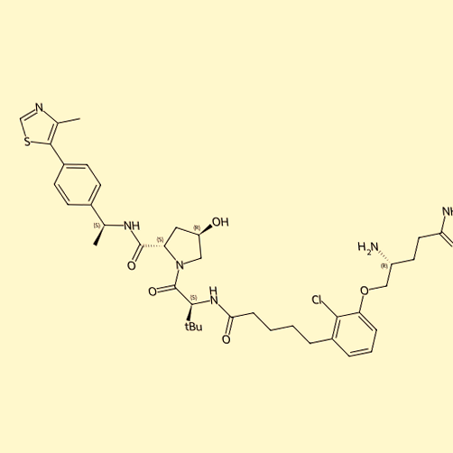 Cc1ncsc1-c1ccc([C@H](C)NC(=O)[C@@H]2C[C@@H](O)CN2C(=O)[C@@H](NC(=O)CCCCc2cccc(OC[C@H](N)CCC(N)=O)c2Cl)C(C)(C)C)cc1